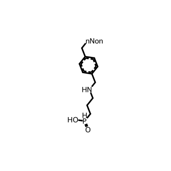 CCCCCCCCCCc1ccc(CNCCC[PH](=O)O)cc1